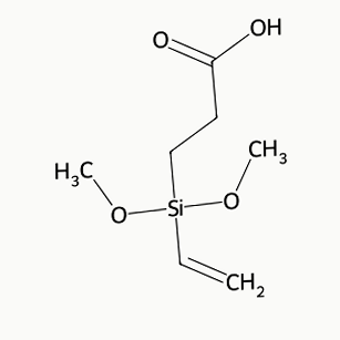 C=C[Si](CCC(=O)O)(OC)OC